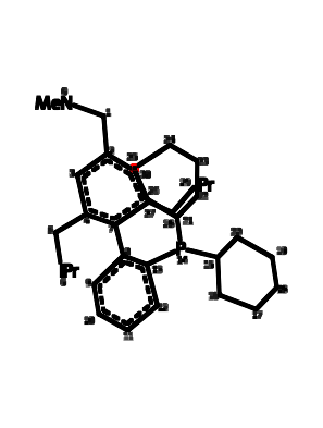 CNCc1cc(CC(C)C)c(-c2ccccc2P(C2CCCCC2)C2CCCCC2)c(CC(C)C)c1